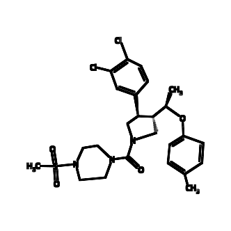 Cc1ccc(O[C@H](C)[C@@H]2CN(C(=O)N3CCN(S(C)(=O)=O)CC3)C[C@H]2c2ccc(Cl)c(Cl)c2)cc1